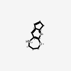 C1=Cc2cc3c(nc2C1)OCCCN3